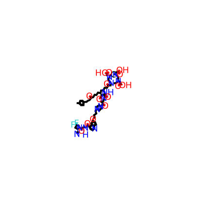 Cc1ccc(CCCC(=O)CCCCCCC(CCC(=O)CN2CCN(CC(=O)O)CCN(CC(=O)O)CCN(CC(=O)O)CC2)NC2CC(=O)N(CC(C)C(=O)N3CCN(CCCCOc4ccc5nccc(C(=O)NCC(=O)N6CC(F)(F)C[C@@H]6C#N)c5c4)CC3)C2=O)cc1